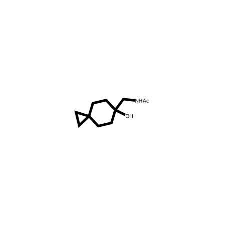 CC(=O)NCC1(O)CCC2(CC1)CC2